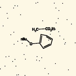 CCCCOc1ccccc1.CCOC(C)=O